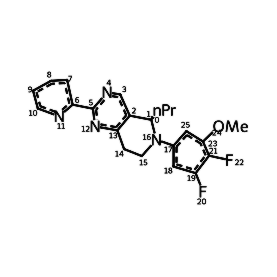 CCC[C@@H]1c2cnc(-c3ccccn3)nc2CCN1c1cc(F)c(F)c(OC)c1